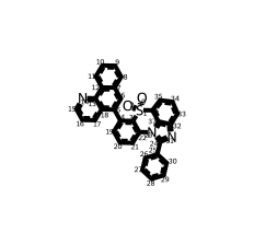 O=S1(=O)c2c(-c3cc4ccccc4c4ncccc34)cccc2-n2c(-c3ccccc3)nc3cccc1c32